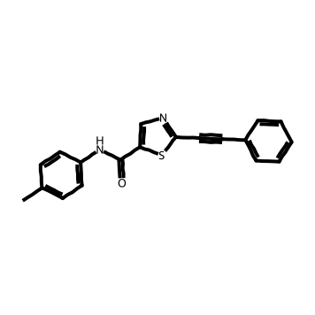 Cc1ccc(NC(=O)c2cnc(C#Cc3ccccc3)s2)cc1